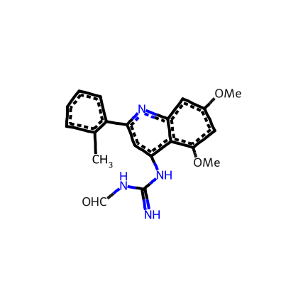 COc1cc(OC)c2c(NC(=N)NC=O)cc(-c3ccccc3C)nc2c1